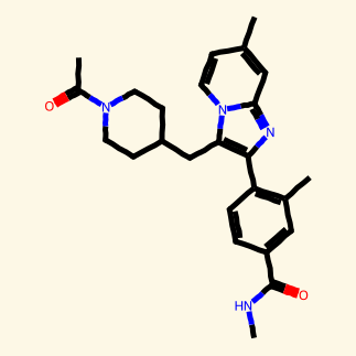 CNC(=O)c1ccc(-c2nc3cc(C)ccn3c2CC2CCN(C(C)=O)CC2)c(C)c1